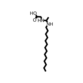 CCCCCCCCCCCCCCNC(C)NCC(=O)O